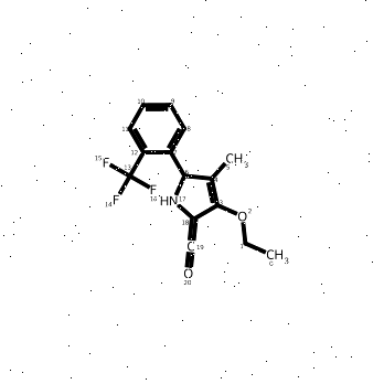 CCOC1=C(C)C(c2ccccc2C(F)(F)F)NC1=C=O